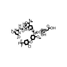 CCOc1cc(Oc2ccc(C(F)(F)F)cc2Cl)ccc1[N+](=O)[O-].COc1cc(OC)nc(NC(=O)NS(=O)(=O)c2ncccc2C(=O)N(C)C)n1.O=C(O)CNCP(=O)(O)O